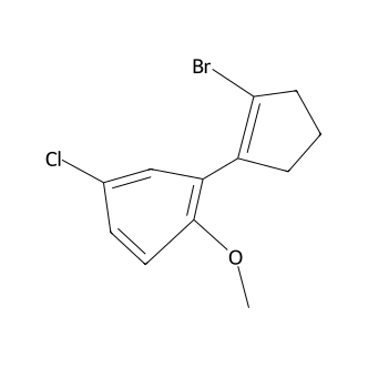 COc1ccc(Cl)cc1C1=C(Br)CCC1